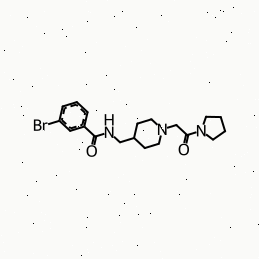 O=C(NCC1CCN(CC(=O)N2CCCC2)CC1)c1cccc(Br)c1